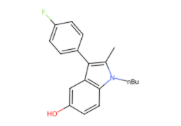 CCCCn1c(C)c(-c2ccc(F)cc2)c2cc(O)ccc21